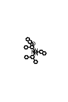 c1ccc(-c2cc(-c3ccccc3)cc(-c3nc(-c4ccc5ccccc5c4)nc(-c4cc(-c5ccccc5)c5c(c4)oc4cc6ccccc6cc45)n3)c2)cc1